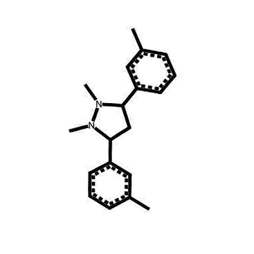 Cc1cccc(C2CC(c3cccc(C)c3)N(C)N2C)c1